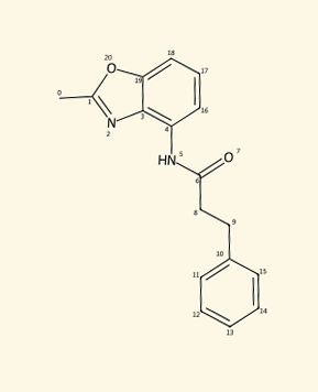 Cc1nc2c(NC(=O)CCc3ccccc3)cccc2o1